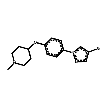 CN1CCC(Oc2ccc(-n3cc(Br)cn3)cc2)CC1